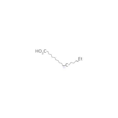 CCC=CCCCC/C=C\CCCCCCCCCC(=O)O